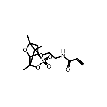 C=CC(=O)NCCOC1(C)C2(C)CC3C(O2)C1(C)OS3(=O)=O